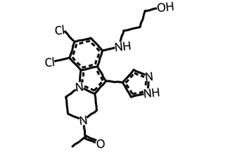 CC(=O)N1CCn2c(c(-c3cn[nH]c3)c3c(NCCCO)cc(Cl)c(Cl)c32)C1